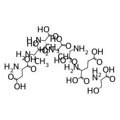 C[C@H](N)C(=O)O.C[C@H](N)C(=O)O.C[C@H](N)C(=O)O.NCC(=O)O.N[C@@H](CC(=O)O)C(=O)O.N[C@@H](CCC(=O)O)C(=O)O.N[C@@H](CO)C(=O)O